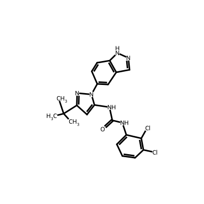 CC(C)(C)c1cc(NC(=O)Nc2cccc(Cl)c2Cl)n(-c2ccc3[nH]ncc3c2)n1